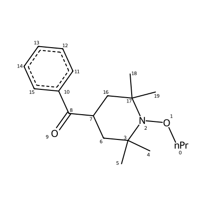 CCCON1C(C)(C)CC(C(=O)c2ccccc2)CC1(C)C